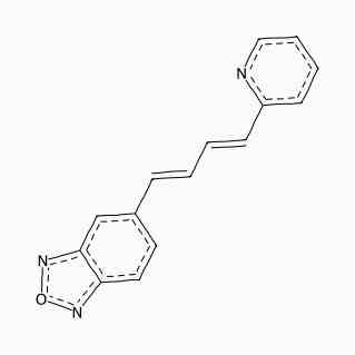 C(C=Cc1ccccn1)=Cc1ccc2nonc2c1